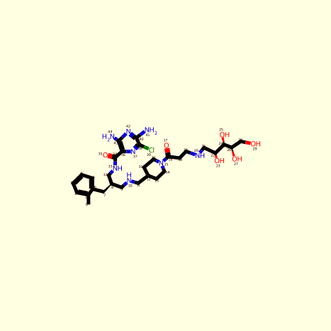 Cc1ccccc1C[C@H](CNCC1CCN(C(=O)CCNC[C@H](O)[C@@H](O)[C@H](O)CO)CC1)CNC(=O)c1nc(Cl)c(N)nc1N